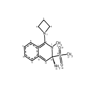 CN1C(N2CCC2)=c2ccccc2=C[C@@]1(N)S(C)(=O)=O